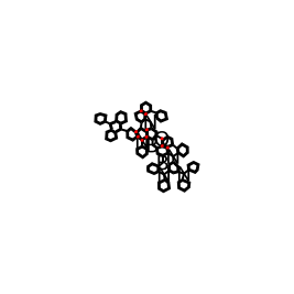 c1ccc(-c2ccccc2N(c2cc3c4c(c2)N(c2ccc(-c5c6ccccc6c(-c6ccccc6)c6ccccc56)cc2)c2ccccc2B4c2cc4c(cc2O3)N(c2ccccc2-c2ccccc2)c2cc(N(c3ccccc3)c3ccccc3)cc3c2B4c2ccccc2N3c2ccccc2)c2ccccc2-c2ccccc2)cc1